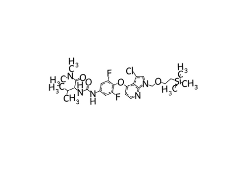 CC(C)C(NC(=O)Nc1cc(F)c(Oc2ccnc3c2c(Cl)cn3COCC[Si](C)(C)C)c(F)c1)C(=O)N(C)C